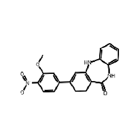 COc1cc(C2=CC3=C(CC2)C(=O)Nc2ccccc2N3)ccc1[N+](=O)[O-]